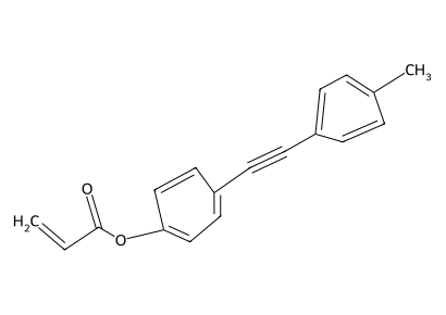 C=CC(=O)Oc1ccc(C#Cc2ccc(C)cc2)cc1